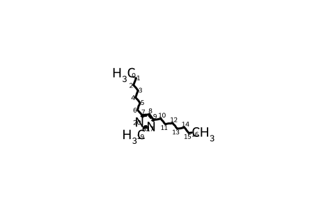 CCCCCCCc1cc(CCCCCCC)nc(C)n1